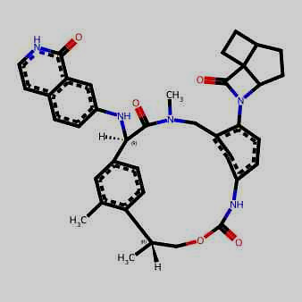 Cc1cc2ccc1[C@@H](C)COC(=O)Nc1ccc(N3C(=O)C45CCC4CCC35)c(c1)CN(C)C(=O)[C@@H]2Nc1ccc2cc[nH]c(=O)c2c1